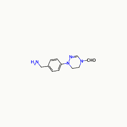 NCc1ccc(N2CCN(C=O)C=N2)cc1